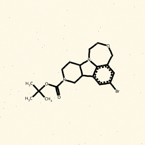 CC(C)(C)OC(=O)N1CCC2C(C1)c1cc(Br)cc3c1N2CCOC3